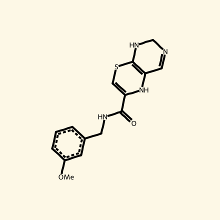 COc1cccc(CNC(=O)C2=CSC3=C(C=NCN3)N2)c1